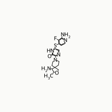 C[C@@H]1OCC2(CCN(c3ncc(Sc4ccnc(N)c4F)[nH]c3=O)CC2)[C@@H]1N